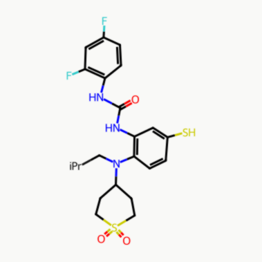 CC(C)CN(c1ccc(S)cc1NC(=O)Nc1ccc(F)cc1F)C1CCS(=O)(=O)CC1